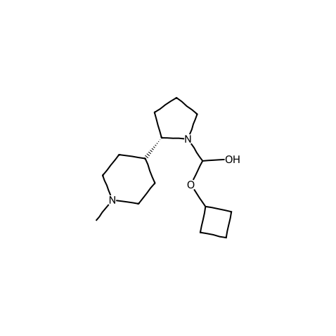 CN1CCC([C@@H]2CCCN2C(O)OC2CCC2)CC1